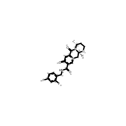 C[C@@H]1CCO[C@H]2Cn3cc(C(=O)NCc4ccc(F)cc4F)c(=O)cc3C(=O)N12